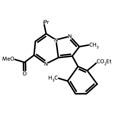 CCOC(=O)c1cccc(C)c1-c1c(C)nn2c(C(C)C)cc(C(=O)OC)nc12